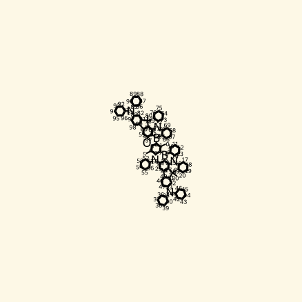 Cc1c2c(c(C)c3c1B1c4ccccc4N(c4ccccc4)c4c1c(cc1c4C(C)(C)c4cc(N(c5ccccc5)c5ccccc5)ccc4-1)N3c1ccccc1)Oc1cc3c(c4c1B2c1ccccc1N4c1ccccc1)C(C)(C)c1cc(N(c2ccccc2)c2ccccc2)ccc1-3